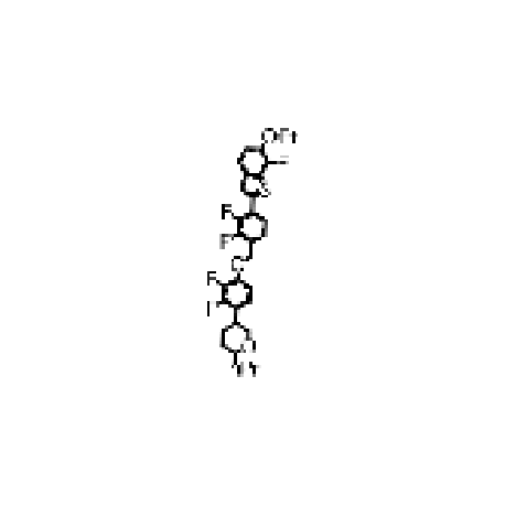 CCCC1CCC(c2ccc(OCc3ccc(-c4cc5ccc(OCC)c(F)c5s4)c(F)c3F)c(F)c2F)CO1